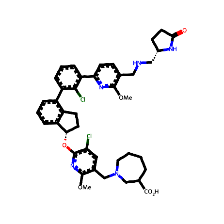 COc1nc(-c2cccc(-c3cccc4c3CC[C@@H]4Oc3nc(OC)c(CN4CCCCC(C(=O)O)C4)cc3Cl)c2Cl)ccc1CNC[C@@H]1CCC(=O)N1